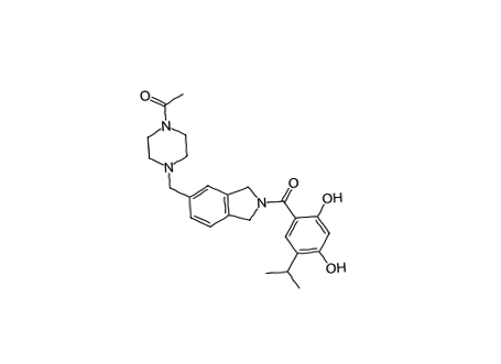 CC(=O)N1CCN(Cc2ccc3c(c2)CN(C(=O)c2cc(C(C)C)c(O)cc2O)C3)CC1